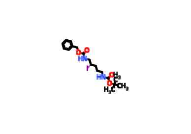 CC(C)(C)OC(=O)NCCC[C@H](I)CNC(=O)OCc1ccccc1